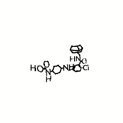 O=C(O)NC1CCC(NCc2ccc(Cl)c(C(=O)NCC34CC5CC(CC(C5)C3)C4)c2)CC1